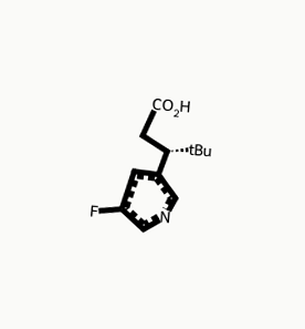 CC(C)(C)[C@@H](CC(=O)O)c1cncc(F)c1